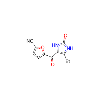 CCc1[nH]c(=O)[nH]c1C(=O)c1ccc(C#N)o1